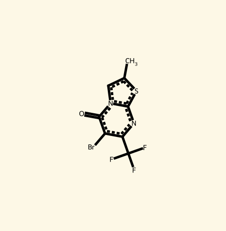 Cc1cn2c(=O)c(Br)c(C(F)(F)F)nc2s1